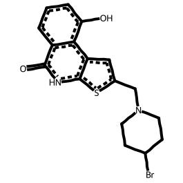 O=c1[nH]c2sc(CN3CCC(Br)CC3)cc2c2c(O)cccc12